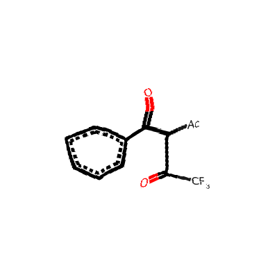 CC(=O)C(C(=O)c1ccccc1)C(=O)C(F)(F)F